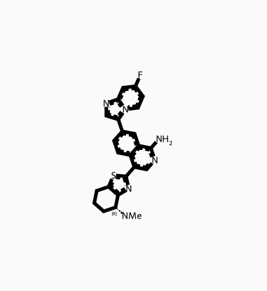 CN[C@@H]1CCCc2sc(-c3cnc(N)c4cc(-c5cnc6cc(F)ccn56)ccc34)nc21